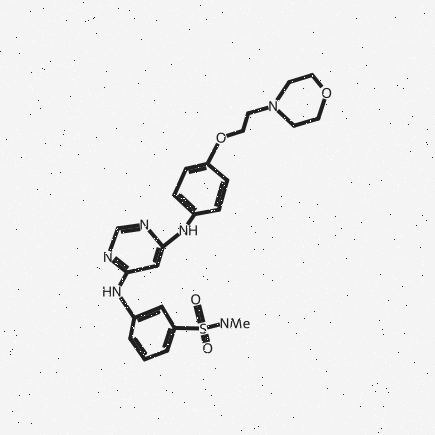 CNS(=O)(=O)c1cccc(Nc2cc(Nc3ccc(OCCN4CCOCC4)cc3)ncn2)c1